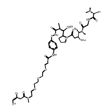 CC/C(=C/O)CC(=O)N(C)CCOCCOCCOCCC(=O)Nc1ccc(SNC(=O)C(C)C(OC)C2CCCN2C(=O)CC(OC)C(C(C)CC)N(C)C(=O)CNC(=O)C(C(C)C)N(C)C)cc1